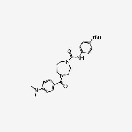 CN(C)c1ccc(C(=O)N2CCCN(C(=O)Nc3ccc(C(C)(C)C)cc3)CC2)cc1